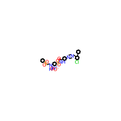 O=C(NS(=O)(=O)c1ccc(NCCS(=O)(=O)c2ccccc2)c([N+](=O)[O-])c1)c1ccc(N2CCN(Cc3cc(Cl)ccc3-c3ccccc3)CC2)cc1